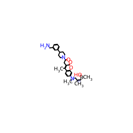 CB(O)/C=C(/C)CN(C)c1ccc2c(C)c(CC(=O)N3CCC(c4cccc(CN)c4)CC3)c(=O)oc2c1